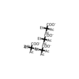 CCC(C(C)=O)(C(C)=O)C(=O)[O-].CCC(C(C)=O)(C(C)=O)C(=O)[O-].CCC(C(C)=O)(C(C)=O)C(=O)[O-].CCC(C(C)=O)(C(C)=O)C(=O)[O-].[Zr+4]